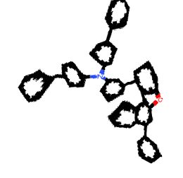 c1ccc(-c2ccc(N(c3ccc(-c4ccccc4)cc3)c3cccc(-c4cccc5oc6cc(-c7ccccc7)c7ccccc7c6c45)c3)cc2)cc1